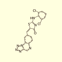 O=C1N=C(Nc2c(Cl)cccc2Cl)SC1=Cc1ccc2ncc3nnnn3c2c1